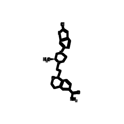 C[C@@H]1CN(c2ccc3cc(Cl)sc3c2)CCN1CCC1OCCc2cc(C(N)=O)ccc21